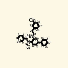 O=CN(Cc1cccnc1)c1ccc(-c2ccccc2)nc1NCCc1cccc(Cl)c1